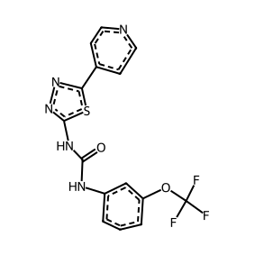 O=C(Nc1cccc(OC(F)(F)F)c1)Nc1nnc(-c2ccncc2)s1